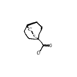 O=C(Cl)C12CCC(CC1)CC2